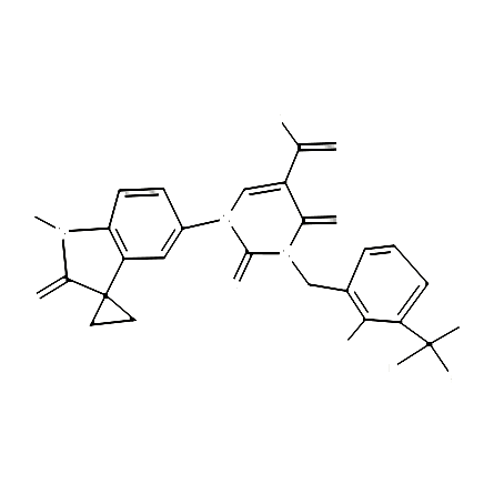 Cc1c(Cn2c(=O)c(C(=O)O)cn(-c3ccc4c(c3)C3(CC3)C(=O)N4C)c2=O)cccc1C(F)(F)F